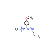 CCCCN[C@H]1Cc2cc(OC)ccc2C(c2ccn(C)n2)=N1